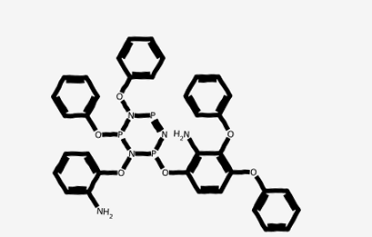 Nc1ccccc1On1p(Oc2ccc(Oc3ccccc3)c(Oc3ccccc3)c2N)npn(Oc2ccccc2)p1Oc1ccccc1